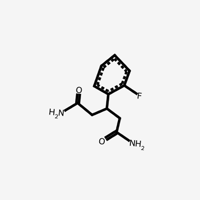 NC(=O)CC(CC(N)=O)c1ccccc1F